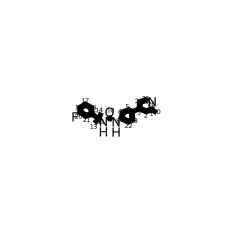 Cc1cc(-c2ccc(NC(=O)NC(C)(C)c3cccc(F)c3)cc2)ccn1